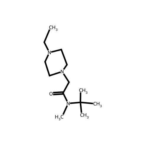 CCN1CCN(CC(=O)N(C)C(C)(C)C)CC1